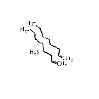 C=CCCCCCC.C=CCCCCCC.S